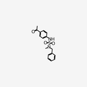 CC(=O)c1ccc(NS(=O)(=O)N(C)Cc2ccccc2)cc1